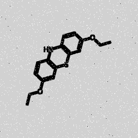 CCOc1ccc2c(c1)Sc1cc(OCC)ccc1N2